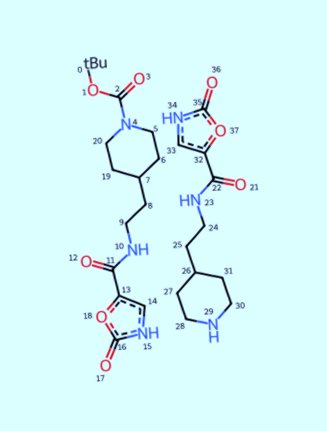 CC(C)(C)OC(=O)N1CCC(CCNC(=O)c2c[nH]c(=O)o2)CC1.O=C(NCCC1CCNCC1)c1c[nH]c(=O)o1